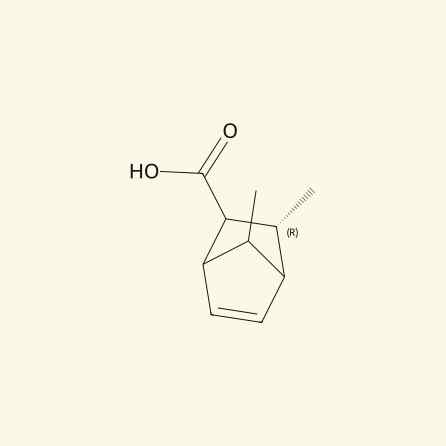 CC1C2C=CC1[C@@H](C)C2C(=O)O